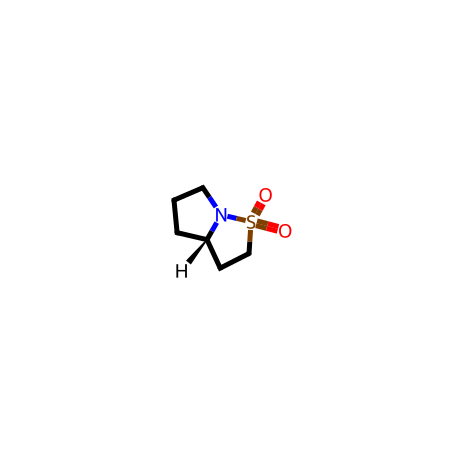 O=S1(=O)CC[C@@H]2CCCN21